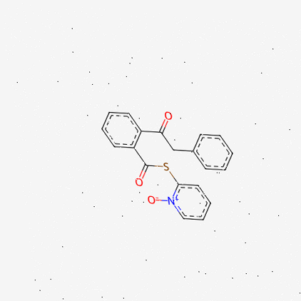 O=C(Cc1ccccc1)c1ccccc1C(=O)Sc1cccc[n+]1[O-]